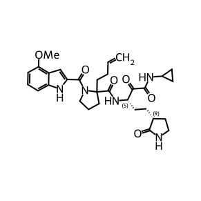 C=CCCC1(C(=O)N[C@@H](CC[C@@H]2CCNC2=O)C(=O)C(=O)NC2CC2)CCCN1C(=O)c1cc2c(OC)cccc2[nH]1